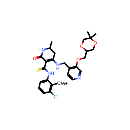 COc1c(Cl)cccc1NC(=S)C1=C(NCc2ccncc2OCC2COC(C)(C)CO2)CC(C)NC1=O